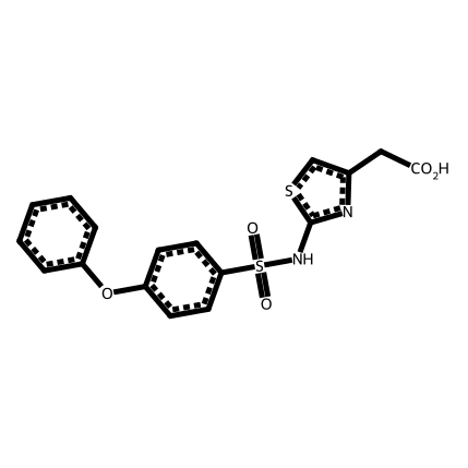 O=C(O)Cc1csc(NS(=O)(=O)c2ccc(Oc3ccccc3)cc2)n1